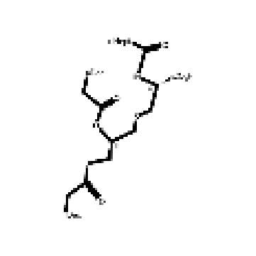 CCCCCCCCCCCC(=O)OC[C@H](CSC[C@H](NC(=O)CCCCCCC)C(=O)O)OC(=O)CCCCCCCCCCC